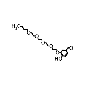 CCCCOCCOCCOCCOCCOc1cc(C=O)ccc1O